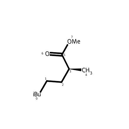 CCC(C)CC[C@H](C)C(=O)OC